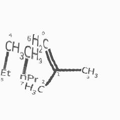 C=C(C)C.CCC.CCCC